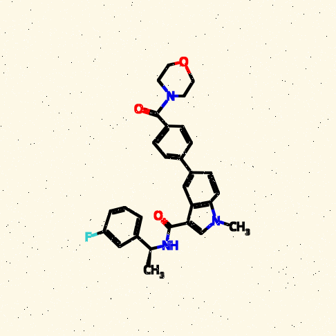 C[C@H](NC(=O)c1cn(C)c2ccc(-c3ccc(C(=O)N4CCOCC4)cc3)cc12)c1cccc(F)c1